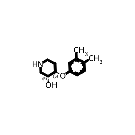 Cc1ccc(O[C@H]2CCNC[C@H]2O)cc1C